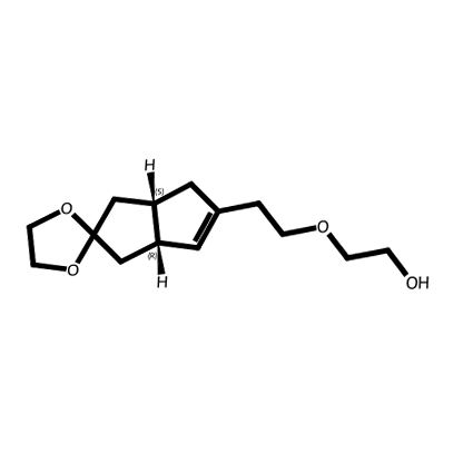 OCCOCCC1=C[C@@H]2CC3(C[C@@H]2C1)OCCO3